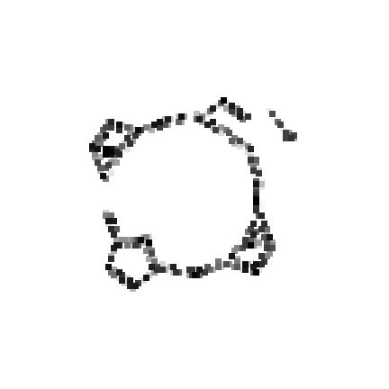 C1=Cc2cc3ccc(cc4nc(cc5ccc(cc1n2)[nH]5)C=C4)[nH]3.CBr